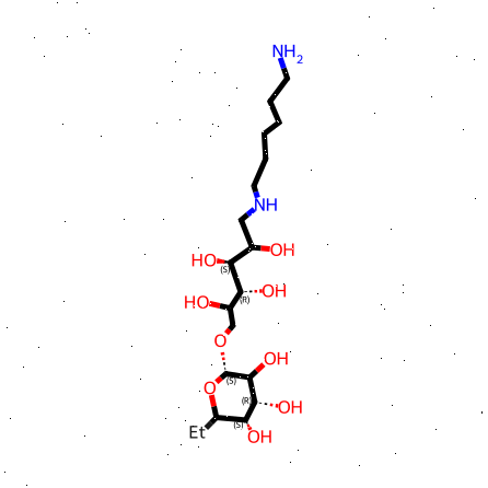 CCC1O[C@H](OCC(O)[C@@H](O)[C@@H](O)C(O)CNCCCCCCN)C(O)[C@H](O)[C@@H]1O